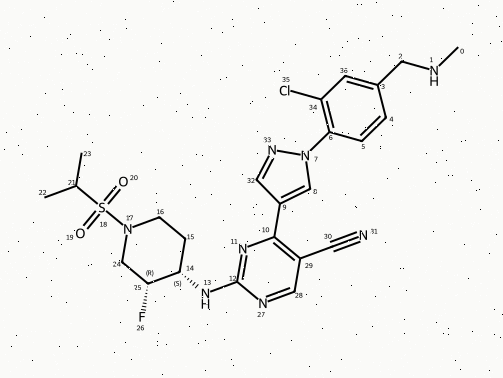 CNCc1ccc(-n2cc(-c3nc(N[C@H]4CCN(S(=O)(=O)C(C)C)C[C@H]4F)ncc3C#N)cn2)c(Cl)c1